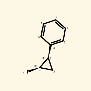 I[C@@H]1C[C@@H]1c1ccccc1